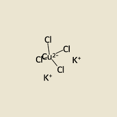 [Cl][Cu-2]([Cl])([Cl])[Cl].[K+].[K+]